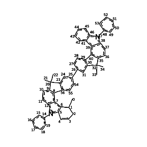 CC1CC=Cc2c1c1c3c(ccc1n2-c1ccccc1)C(C)(C)c1cc(-c2ccc4c(c2)C(C)(C)c2ccc5c(c2-4)c2ccccc2n5-c2ccccc2)ccc1-3